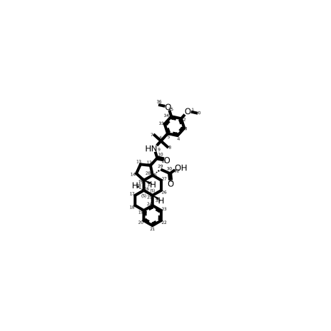 COc1ccc(C(C)(C)NC(=O)C2CC[C@H]3[C@@H]4CCc5ccccc5[C@H]4CC[C@]23CC(=O)O)cc1OC